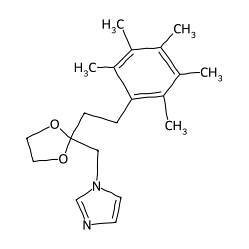 Cc1c(C)c(C)c(CCC2(Cn3ccnc3)OCCO2)c(C)c1C